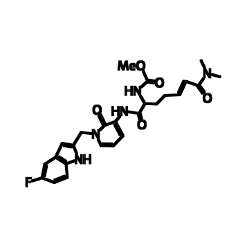 COC(=O)NC(CCC=CC(=O)N(C)C)C(=O)Nc1cccn(Cc2cc3cc(F)ccc3[nH]2)c1=O